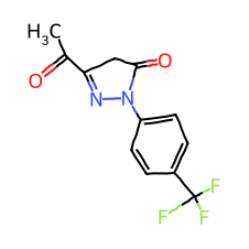 CC(=O)C1=NN(c2ccc(C(F)(F)F)cc2)C(=O)C1